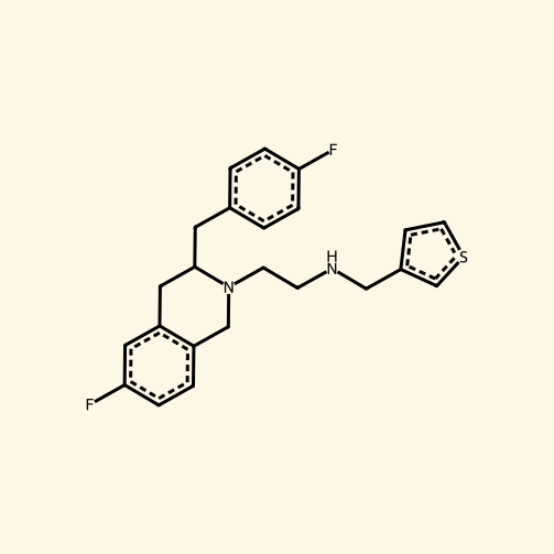 Fc1ccc(CC2Cc3cc(F)ccc3CN2CCNCc2ccsc2)cc1